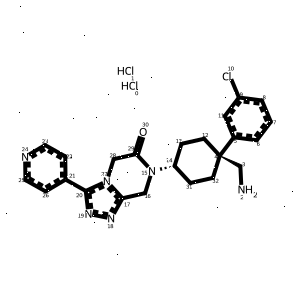 Cl.Cl.NC[C@]1(c2cccc(Cl)c2)CC[C@@H](N2Cc3nnc(-c4ccncc4)n3CC2=O)CC1